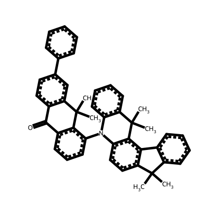 CC1(C)c2ccccc2-c2c1ccc1c2C(C)(C)c2ccccc2N1c1cccc2c1C(C)(C)c1cc(-c3ccccc3)ccc1C2=O